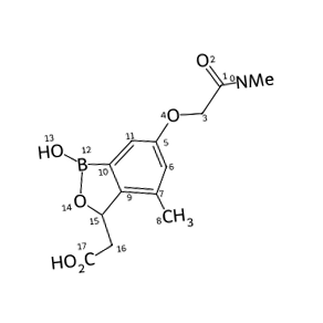 CNC(=O)COc1cc(C)c2c(c1)B(O)OC2CC(=O)O